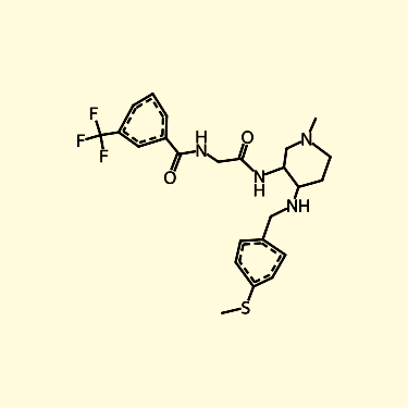 CSc1ccc(CNC2CCN(C)CC2NC(=O)CNC(=O)c2cccc(C(F)(F)F)c2)cc1